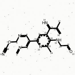 C=N/C=C(\C=N/COC#N)c1cc(C(=N)C(=C)C)c(NCC=O)c(C)n1